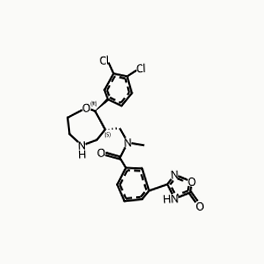 CN(C[C@@H]1CNCCO[C@H]1c1ccc(Cl)c(Cl)c1)C(=O)c1cccc(-c2noc(=O)[nH]2)c1